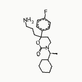 C[C@@H](C1CCCCC1)N1CCC(CCCN)(c2ccc(F)cc2)OC1=O